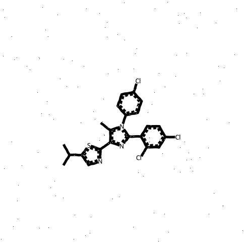 Cc1c(-c2ncc(C(C)C)s2)nc(-c2ccc(Cl)cc2Cl)n1-c1ccc(Cl)cc1